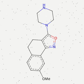 COc1ccc2c(c1)-c1noc(N3CCNCC3)c1CC2